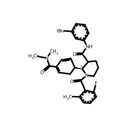 Cc1cccc(F)c1C(=O)N1CCCC(C(=O)Nc2cccc(C(C)(C)C)c2)[C@@H]1C1C=CC(C(=O)N(C)C)=CC1